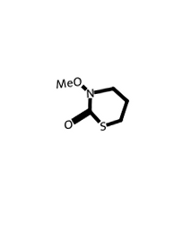 CON1CCCSC1=O